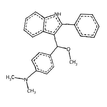 COC(c1ccc(N(C)C)cc1)c1c(-c2ccccc2)[nH]c2ccccc12